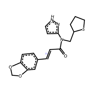 O=C(/C=C/c1ccc2c(c1)OCO2)N(CC1CCCS1)c1cc[nH]n1